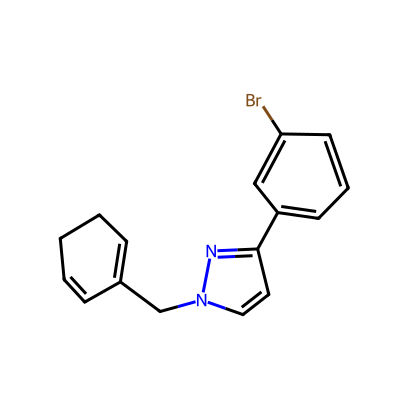 Brc1cccc(-c2ccn(CC3=CCCC=C3)n2)c1